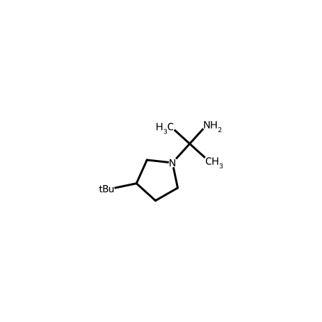 CC(C)(C)C1CCN(C(C)(C)N)C1